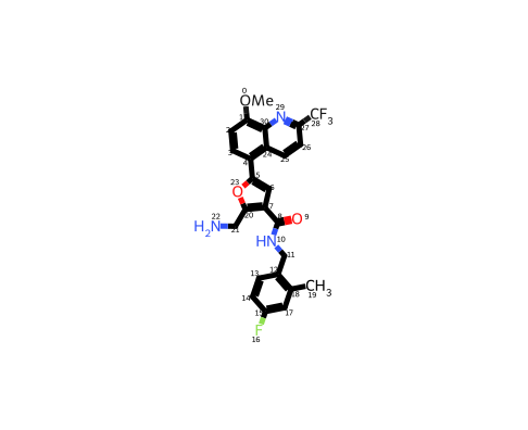 COc1ccc(-c2cc(C(=O)NCc3ccc(F)cc3C)c(CN)o2)c2ccc(C(F)(F)F)nc12